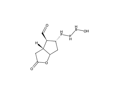 O=C[C@H]1[C@H](PPBO)CC2OC(=O)C[C@@H]21